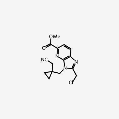 COC(=O)c1ccc2nc(CCl)n(CC3(CC#N)CC3)c2n1